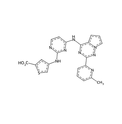 Cc1cccc(-c2nc(Nc3ccnc(Nc4csc(C(=O)O)c4)n3)c3cccn3n2)n1